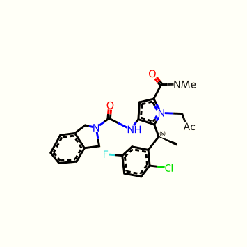 CNC(=O)c1cc(NC(=O)N2Cc3ccccc3C2)c([C@@H](C)c2cc(F)ccc2Cl)n1CC(C)=O